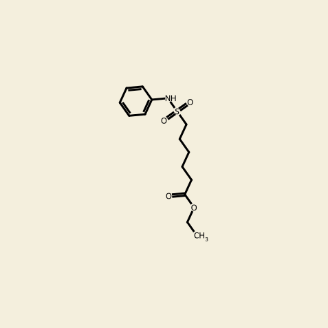 CCOC(=O)CCCCCS(=O)(=O)Nc1ccccc1